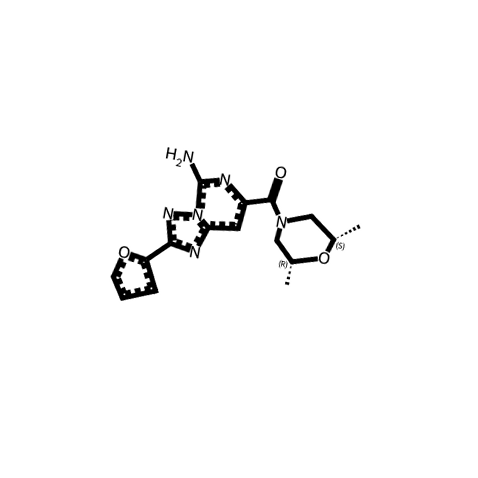 C[C@@H]1CN(C(=O)c2cc3nc(-c4ccco4)nn3c(N)n2)C[C@H](C)O1